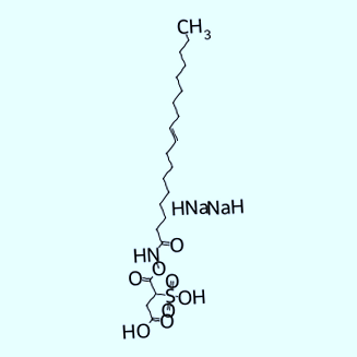 CCCCCCCCC=CCCCCCCCC(=O)NOC(=O)C(CC(=O)O)S(=O)(=O)O.[NaH].[NaH]